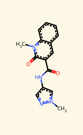 Cn1cc(NC(=O)c2cc3ccccc3n(C)c2=O)cn1